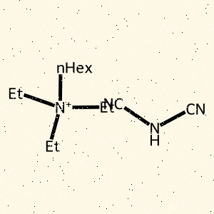 CCCCCC[N+](CC)(CC)CC.N#CNC#N